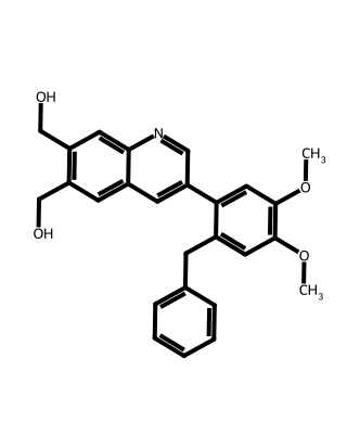 COc1cc(Cc2ccccc2)c(-c2cnc3cc(CO)c(CO)cc3c2)cc1OC